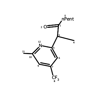 CCCCCC(=O)C(C)c1cc(C(F)(F)F)cc(C)n1